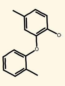 Cc1ccc([O])c(Oc2ccccc2C)c1